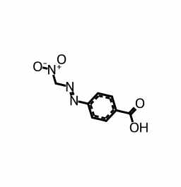 O=C(O)c1ccc(/N=N/C[N+](=O)[O-])cc1